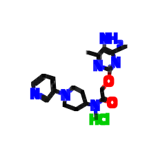 Cc1nc(OCC(=O)N(C)C2CCN(c3cccnc3)CC2)nc(C)c1N.Cl